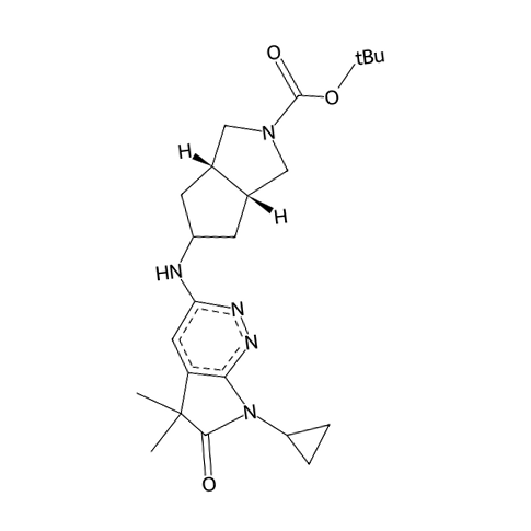 CC(C)(C)OC(=O)N1C[C@H]2CC(Nc3cc4c(nn3)N(C3CC3)C(=O)C4(C)C)C[C@H]2C1